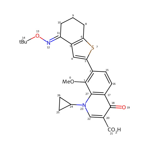 COc1c(-c2cc3c(s2)CCCC3=NOC(C)(C)C)ccc2c(=O)c(C(=O)O)cn(C3CC3)c12